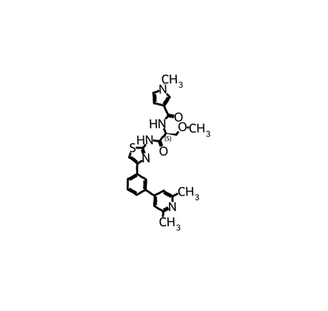 COC[C@H](NC(=O)c1ccn(C)c1)C(=O)Nc1nc(-c2cccc(-c3cc(C)nc(C)c3)c2)cs1